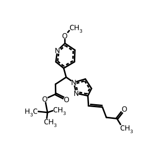 COc1ccc(C(CC(=O)OC(C)(C)C)n2ccc(/C=C/CC(C)=O)n2)cn1